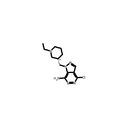 CCN1CCC[C@H](Cn2ncc3c(Cl)nnc(N)c32)C1